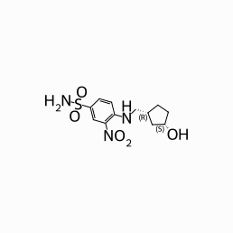 NS(=O)(=O)c1ccc(NC[C@@H]2CC[C@H](O)C2)c([N+](=O)[O-])c1